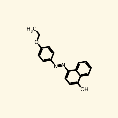 CCOc1ccc(N=Nc2ccc(O)c3ccccc23)cc1